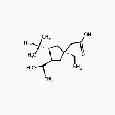 CC(C)[C@@H]1C[C@](CN)(CC(=O)O)C[C@H]1C(C)(C)C